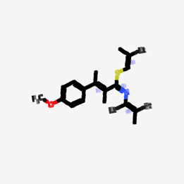 CC\C(C)=C(CC)/N=C(S/C=C(\C)CC)\C(C)=C(/C)c1ccc(OC(F)(F)F)cc1